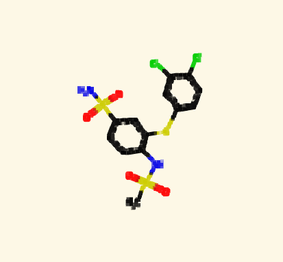 CS(=O)(=O)Nc1ccc(S(N)(=O)=O)cc1Sc1ccc(Cl)c(Cl)c1